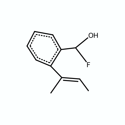 CC=C(C)c1ccccc1C(O)F